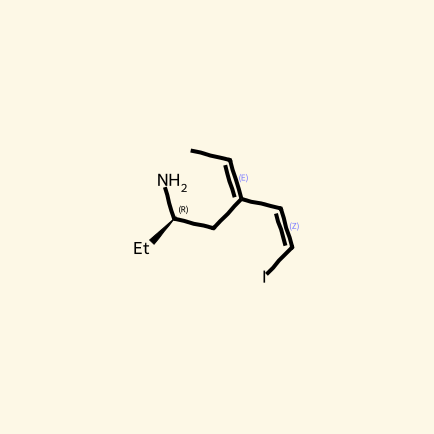 C/C=C(/C=C\I)C[C@H](N)CC